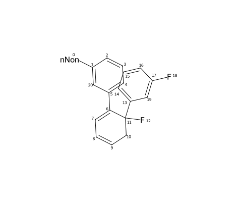 CCCCCCCCCc1cccc(C2=CC=CCC2(F)c2cccc(F)c2)c1